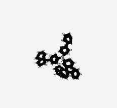 c1ccc(-c2ccc(N(c3ccc(-c4cccc5ccccc45)cc3)c3ccc4c(c3)C3(c5ccccc5-4)C4CC5CC(C4)CC3C5)cc2)cc1